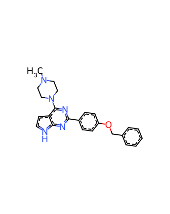 CN1CCN(c2nc(-c3ccc(OCc4ccccc4)cc3)nc3[nH]ccc23)CC1